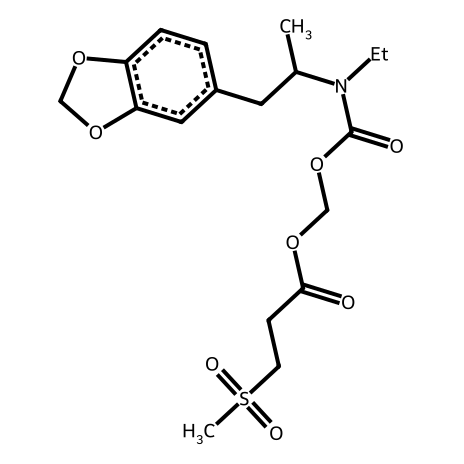 CCN(C(=O)OCOC(=O)CCS(C)(=O)=O)C(C)Cc1ccc2c(c1)OCO2